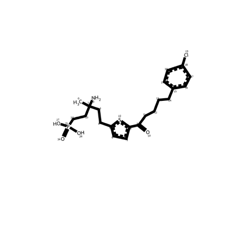 CC(N)(CCc1ccc(C(=O)CCCCc2ccc(Cl)cc2)s1)CCP(=O)(O)O